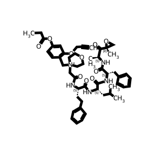 C#CCOc1cc(OC(=O)CC)ccc1C[N+]1(CC(=O)N[C@@H](CCc2ccccc2)C(=O)N[C@@H](CC(C)C)C(=O)N[C@@H](Cc2ccccc2)C(=O)N[C@@H](C)C(=O)[C@@]2(C)CO2)CCOCC1